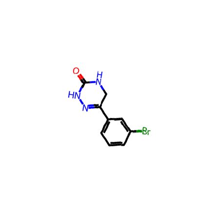 O=C1NCC(c2cccc(Br)c2)=NN1